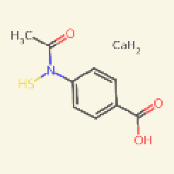 CC(=O)N(S)c1ccc(C(=O)O)cc1.[CaH2]